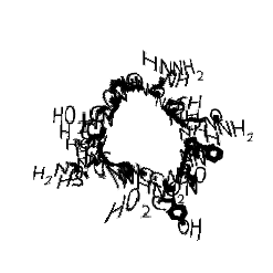 C[C@@H](O)[C@@H]1NC(=O)[C@@H](NC(=O)[C@H](CS)NC(=O)CN)CCc2cn(nn2)CCC(C(=O)N[C@@H](Cc2ccc(O)cc2)C(=O)O)NC(=O)[C@H](CCC(N)=O)NC(=O)C(Cc2c[nH]c3ccccc23)NC(=O)[C@H](CCCNC(N)=O)NC(=O)[C@H](CS)NC(=O)[C@H](CCCNC(=N)N)NC(=O)[C@@H]2CCCN2C(=O)[C@H](CC(=O)O)NC1=O